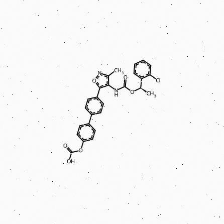 Cc1noc(-c2ccc(-c3ccc(OC(=O)O)cc3)cc2)c1NC(=O)O[C@H](C)c1ccccc1Cl